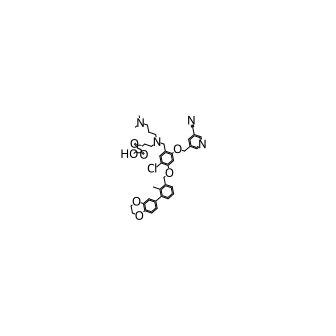 Cc1c(COc2cc(OCc3cncc(C#N)c3)c(CN(CCCN(C)C)CCS(=O)(=O)O)cc2Cl)cccc1-c1ccc2c(c1)OCCO2